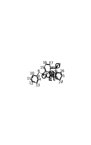 CCOC1(OCC)C(C(=O)Cc2ccccc2)=CC=CC1C(=O)c1ccccc1